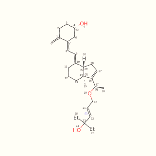 C=C1CC[C@H](O)CC1=CC=C1CCC[C@]2(C)C([C@@H](C)OC/C=C/C(O)(CC)CC)=CC[C@@H]12